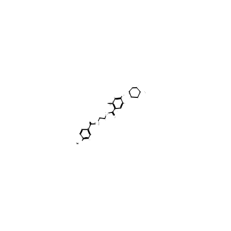 CCOc1ccc(C(=O)NCCNC(=O)c2ccc(O[C@H]3CC[C@@H](C(=O)OCC)CC3)cc2Cl)cc1